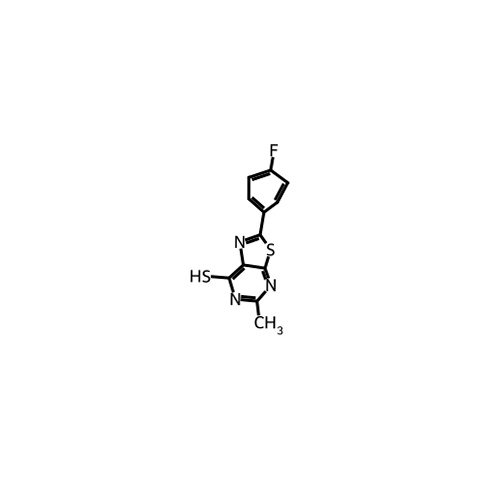 Cc1nc(S)c2nc(-c3ccc(F)cc3)sc2n1